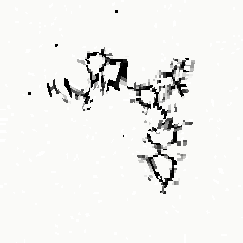 NC(=O)c1cccc2cn(-c3ccc(CN4CCN(c5ccccc5)CC4)cc3)nc12.O=C(O)C(F)(F)F